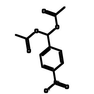 CC(=O)OC(OC(C)=O)c1ccc([N+](=O)[O-])cc1